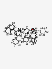 c1ccc(-c2nc(-c3cccc4c3-c3ccccc3C43c4ccccc4Sc4c(C5CCCCC5)cccc43)nc(-c3cccc4ccccc34)n2)cc1